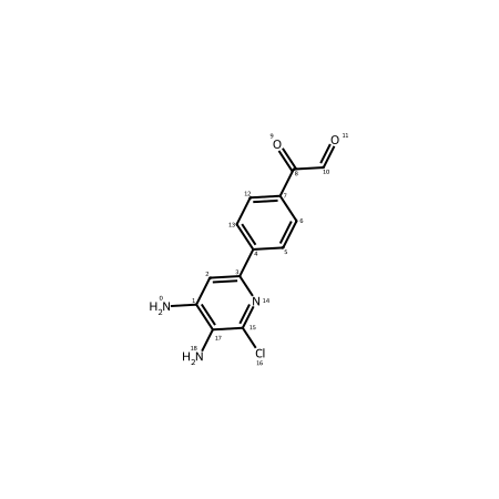 Nc1cc(-c2ccc(C(=O)C=O)cc2)nc(Cl)c1N